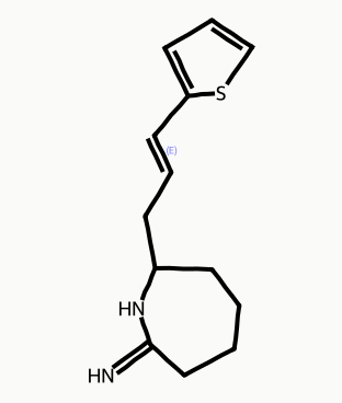 N=C1CCCCC(C/C=C/c2cccs2)N1